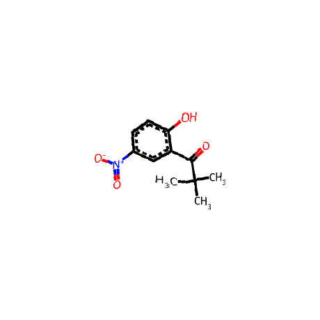 CC(C)(C)C(=O)c1cc([N+](=O)[O-])ccc1O